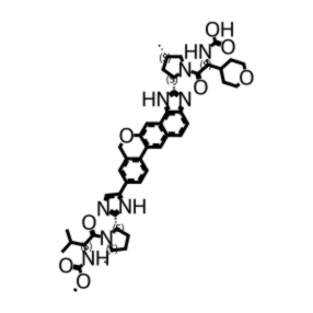 COC(=O)N[C@H](C(=O)N1[C@@H](C)CC[C@H]1c1ncc(-c2ccc3c(c2)COc2cc4c(ccc5nc([C@@H]6C[C@H](C)CN6C(=O)[C@@H](NC(=O)O)C6CCOCC6)[nH]c54)cc2-3)[nH]1)C(C)C